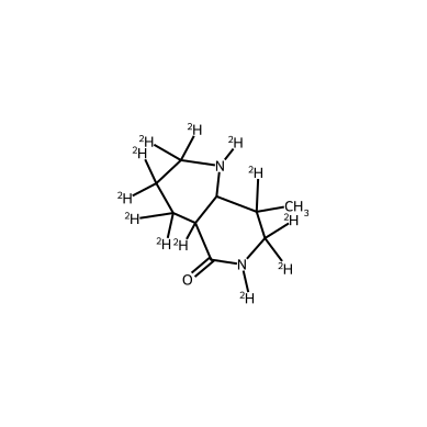 [2H]N1C(=O)C2([2H])C(N([2H])C([2H])([2H])C([2H])([2H])C2([2H])[2H])C([2H])(C)C1([2H])[2H]